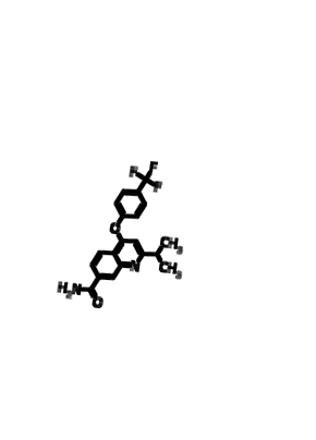 CC(C)c1cc(Oc2ccc(C(F)(F)F)cc2)c2ccc(C(N)=O)cc2n1